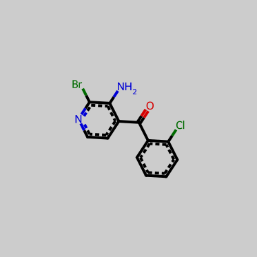 Nc1c(C(=O)c2ccccc2Cl)ccnc1Br